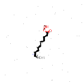 CCCCCCCC/C=C\CCCCCCCC(=O)OO